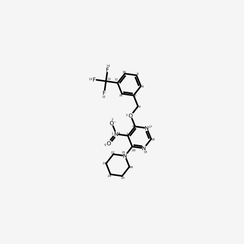 O=[N+]([O-])c1c(OCc2cccc(C(F)(F)F)c2)ncnc1N1CCCCC1